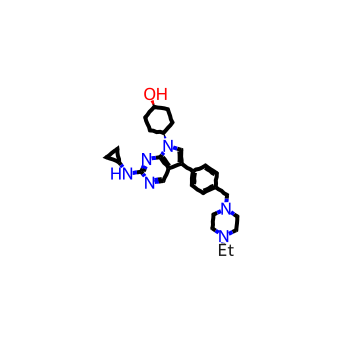 CCN1CCN(Cc2ccc(-c3cn([C@H]4CC[C@H](O)CC4)c4nc(NC5CC5)ncc34)cc2)CC1